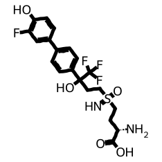 N=S(=O)(CC[C@H](N)C(=O)O)CCC(O)(c1ccc(-c2ccc(O)c(F)c2)cc1)C(F)(F)F